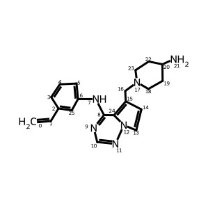 C=Cc1cccc(Nc2ncnn3ccc(CN4CCC(N)CC4)c23)c1